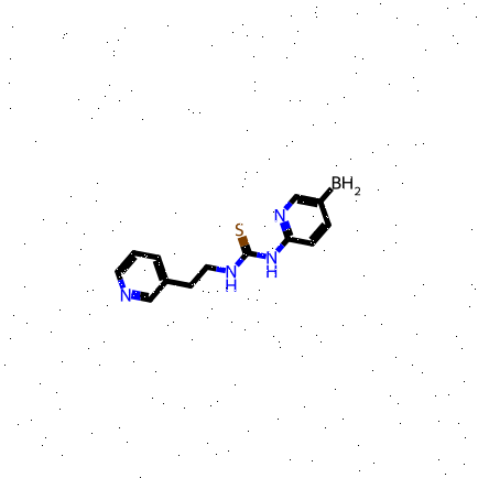 Bc1ccc(NC(=S)NCCc2cccnc2)nc1